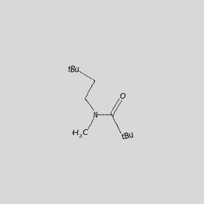 CN(CCC(C)(C)C)C(=O)C(C)(C)C